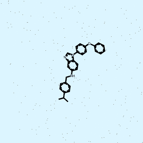 CC(C)c1ccc(CNc2ccc3c(c2)ncn3-c2ccc(Oc3ccccc3)cc2)cc1